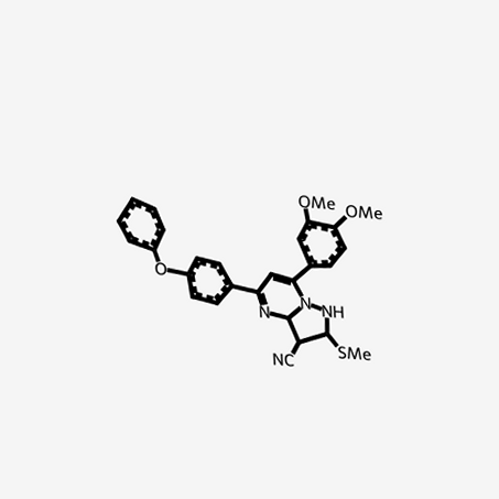 COc1ccc(C2=CC(c3ccc(Oc4ccccc4)cc3)=NC3C(C#N)C(SC)NN23)cc1OC